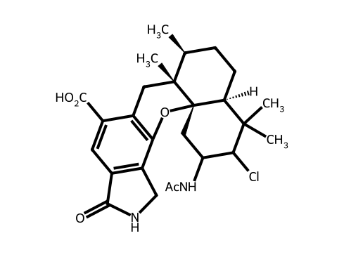 CC(=O)NC1C[C@@]23Oc4c(c(C(=O)O)cc5c4CNC5=O)C[C@]2(C)[C@@H](C)CC[C@H]3C(C)(C)C1Cl